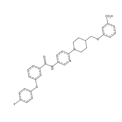 O=C(O)c1cccc(OCC2CCN(c3ccc(NC(=O)c4cccc(Oc5ccc(F)cc5)c4)cn3)CC2)c1